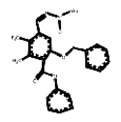 CCCC[S+]([O-])/N=C\c1cc(OCc2ccccc2)c(C(=O)Oc2ccccc2)c(C)c1C(F)(F)F